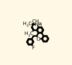 CC1=CC(C)(C)Nc2ccc3c(c21)C(Cc1cccc(F)c1)Oc1ccccc1-3